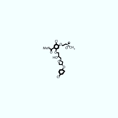 CNC(=O)c1cc(Cl)c(OCCS(C)(=O)=O)cc1OC[C@H](O)CN1C[C@@H](Oc2ccc(Cl)cc2)CO1